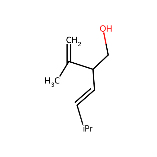 C=C(C)C(C=CC(C)C)CO